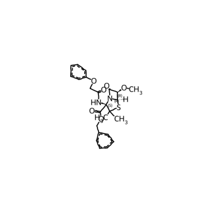 CO[C@@H]1C(=O)N2[C@@H]1SC(C)(C)[C@]2(NC(=O)COc1ccccc1)C(=O)OCc1ccccc1